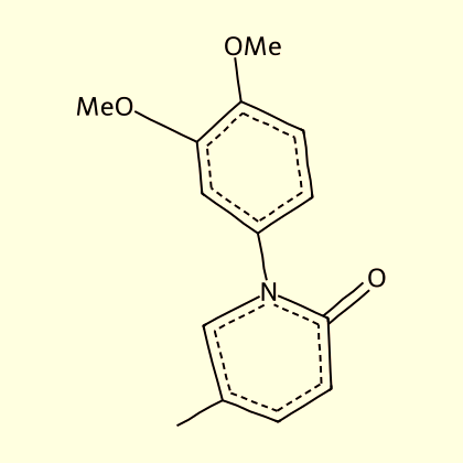 COc1ccc(-n2cc(C)ccc2=O)cc1OC